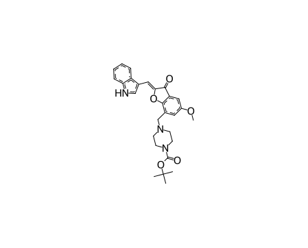 COc1cc(CN2CCN(C(=O)OC(C)(C)C)CC2)c2c(c1)C(=O)/C(=C/c1c[nH]c3ccccc13)O2